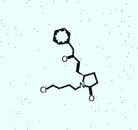 O=C(C=C[C@H]1CCC(=O)N1CCCCCl)Cc1ccccc1